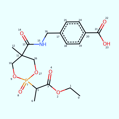 CCOC(=O)C(C)P1(=O)OCC(C)(C(=O)NCc2ccc(C(=O)O)cc2)CO1